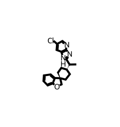 CC(c1nc2ncc(Cl)cc2[nH]1)[C@H]1CC[C@@]2(CC1)COc1ccccc12